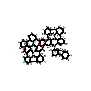 c1ccc(-c2cccc(-c3ccccc3)c2N2c3cccc4c3B3c5c(cc(-c6cc7c8c(c6)N(c6cccc9c6oc6ccccc69)c6cccc9c6B8n6c8c-9cccc8c8cccc-7c86)cc52)-c2cccc5c6cccc-4c6n3c25)cc1